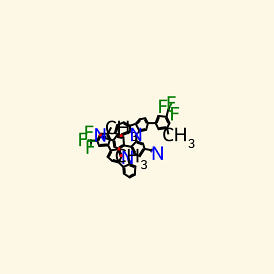 Cc1cc(-c2ccc3c4ccccc4n(-c4cc(C#N)cc(-n5c6ccccc6c6ccc(-c7cc(C)cc(C(F)(F)F)c7)cc65)c4-c4ccc(C#N)cc4C)c3c2)cc(C(F)(F)F)c1